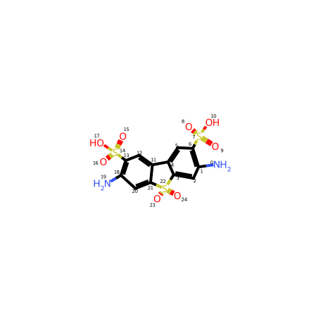 Nc1cc2c(cc1S(=O)(=O)O)-c1cc(S(=O)(=O)O)c(N)cc1S2(=O)=O